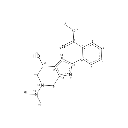 COC(=O)c1ccccc1-c1nc2c(s1)C(O)CN(N(C)C)C2